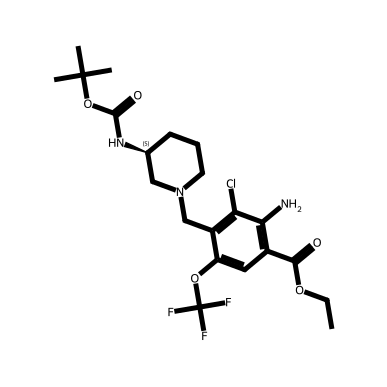 CCOC(=O)c1cc(OC(F)(F)F)c(CN2CCC[C@H](NC(=O)OC(C)(C)C)C2)c(Cl)c1N